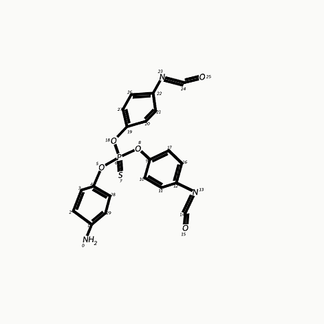 Nc1ccc(OP(=S)(Oc2ccc(N=C=O)cc2)Oc2ccc(N=C=O)cc2)cc1